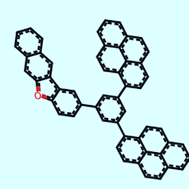 c1ccc2cc3c(cc2c1)oc1ccc(-c2cc(-c4ccc5ccc6cccc7ccc4c5c67)cc(-c4ccc5ccc6cccc7ccc4c5c67)c2)cc13